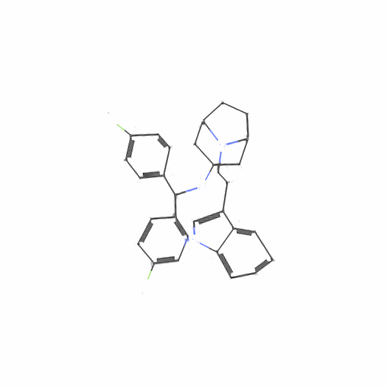 Fc1ccc(C(NC2CC3CCC(C2)N3CCc2c[nH]c3ccccc23)c2ccc(F)cc2)cc1